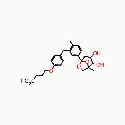 Cc1ccc([C@]23C[C@@H](O)[C@H](O)[C@](C)(CO2)O3)cc1Cc1ccc(OCCCC(=O)O)cc1